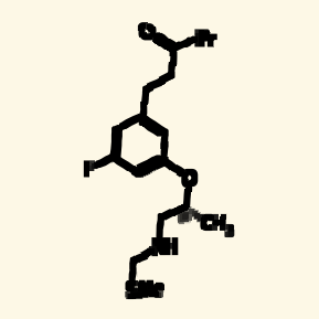 CSCNC[C@@H](C)Oc1cc(F)cc(CCC(=O)C(C)C)c1